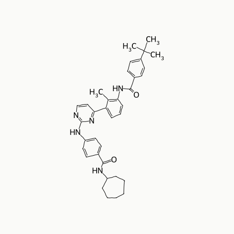 Cc1c(NC(=O)c2ccc(C(C)(C)C)cc2)cccc1-c1ccnc(Nc2ccc(C(=O)NC3CCCCCC3)cc2)n1